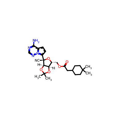 CC1(C)CCC(CC(=O)OC[C@H]2O[C@@](C#N)(c3ccc4c(N)ncnn34)[C@@H]3OC(C)(C)O[C@@H]32)CC1